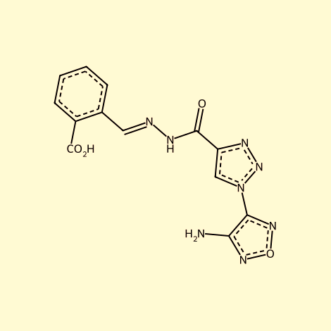 Nc1nonc1-n1cc(C(=O)N/N=C/c2ccccc2C(=O)O)nn1